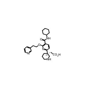 O=C(O)C[C@@]1(c2ccc(C(=O)NC3CCCCC3)c(OCCc3cccnc3)n2)CCCNC1